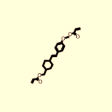 C=CC(=O)OCOc1ccc(C=CC2CCC(COC(=O)C=C)CC2)cc1